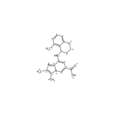 Cc1cccc2c1C(Nc1cc(C(=O)O)cn3c(C)c(C)nc13)CCO2